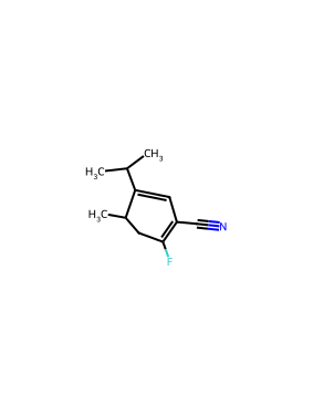 CC(C)C1=CC(C#N)=C(F)CC1C